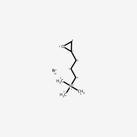 C[N+](C)(C)CCCC1CO1.[Br-]